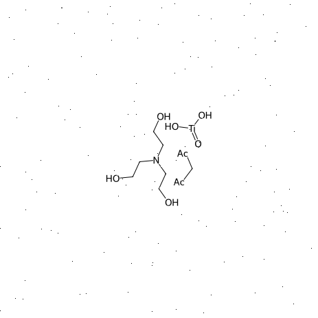 CC(=O)CC(C)=O.OCCN(CCO)CCO.[O]=[Ti]([OH])[OH]